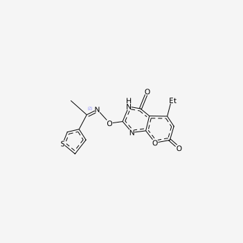 CCc1cc(=O)oc2nc(O/N=C(/C)c3ccsc3)[nH]c(=O)c12